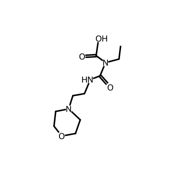 CCN(C(=O)O)C(=O)NCCN1CCOCC1